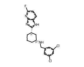 Fc1ccc2[nH]c([C@H]3CCC[C@@H](NCc4cc(Cl)cc(Cl)c4)C3)nc2n1